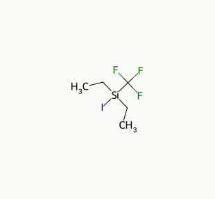 CC[Si](I)(CC)C(F)(F)F